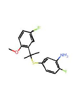 COc1ccc(F)cc1C(C)(C)Sc1ccc(F)c(N)c1